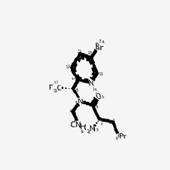 CC(C)C[C@H](N)C(=O)N(CC#N)[C@@H](c1ccc(Br)cn1)C(F)(F)F